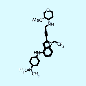 CO[C@@H]1COCC[C@H]1NCC#Cc1cc2c(NC3CCC(N(C)C)CC3)cccc2n1CC(F)(F)F